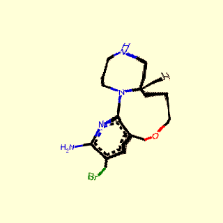 Nc1nc2c(cc1Br)OCC[C@H]1CNCCN21